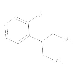 NCC(CN)c1ccccc1Cl